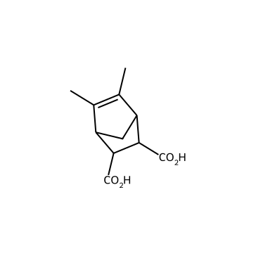 CC1=C(C)C2CC1C(C(=O)O)C2C(=O)O